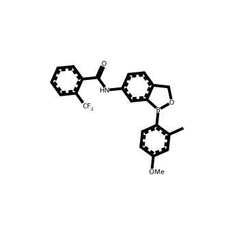 COc1ccc(B2OCc3ccc(NC(=O)c4ccccc4C(F)(F)F)cc32)c(C)c1